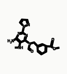 CNc1c(N)nc(-n2cccn2)nc1N(C=O)Cc1cccc(C(=O)OC)c1